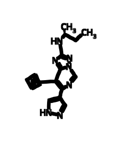 CC[C@@H](C)Nc1nc2c(N3CC4CC3C4)c(-c3cn[nH]c3)ncn2n1